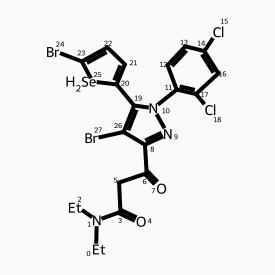 CCN(CC)C(=O)CC(=O)c1nn(-c2ccc(Cl)cc2Cl)c(C2=CC=C(Br)[SeH2]2)c1Br